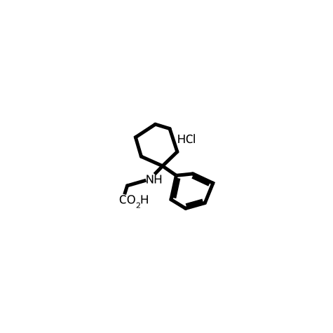 Cl.O=C(O)CNC1(c2ccccc2)CCCCC1